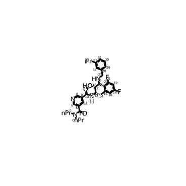 CCCN(CCC)C(=O)c1cncc(C(=O)N[C@@H](Cc2cc(F)cc(F)c2)[C@H](O)CNCc2cccc(C(C)C)c2)c1